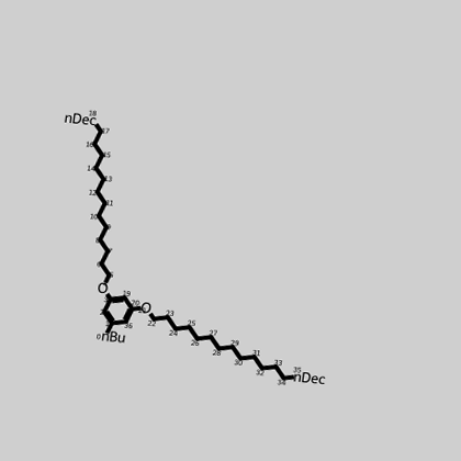 [CH2]CCCc1cc(OCCCCCCCCCCCCCCCCCCCCCCC)cc(OCCCCCCCCCCCCCCCCCCCCCCC)c1